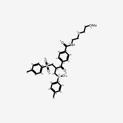 COCCOCCNC(=O)c1ccc(C(=O)C(C[S+]([O-])c2ccc(C)cc2)CS(=O)(=O)c2ccc(C)cc2)cc1